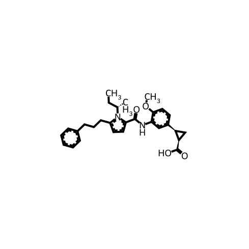 CC[C@H](C)n1c(CCCc2ccccc2)ccc1C(=O)Nc1cc([C@H]2C[C@H]2C(=O)O)ccc1OC